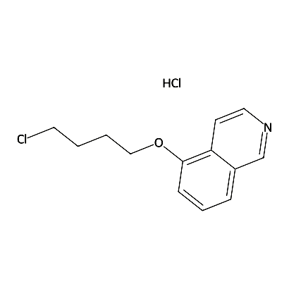 Cl.ClCCCCOc1cccc2cnccc12